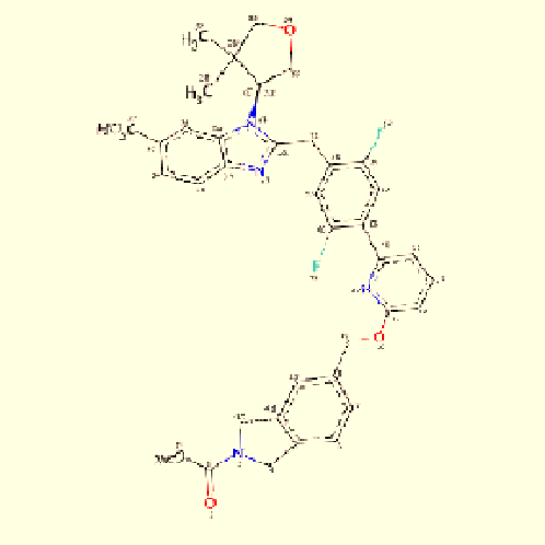 COC(=O)N1Cc2ccc(COc3cccc(-c4cc(F)c(Cc5nc6ccc(C(=O)O)cc6n5[C@@H]5COCC5(C)C)cc4F)n3)cc2C1